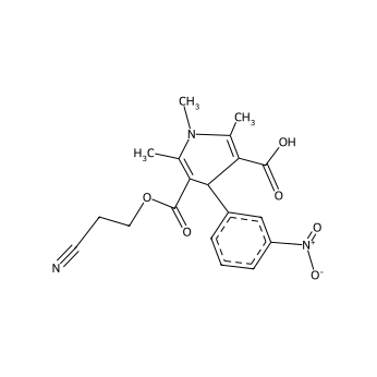 CC1=C(C(=O)O)C(c2cccc([N+](=O)[O-])c2)C(C(=O)OCCC#N)=C(C)N1C